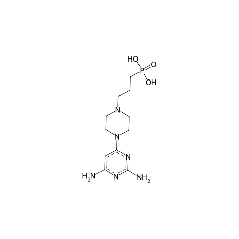 Nc1cc(N2CCN(CCCP(=O)(O)O)CC2)nc(N)n1